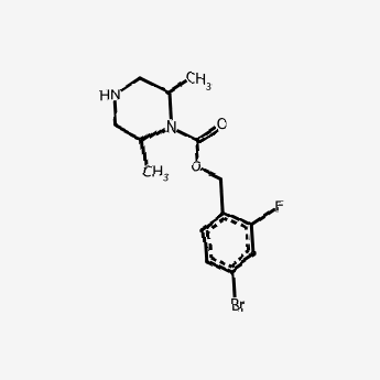 CC1CNCC(C)N1C(=O)OCc1ccc(Br)cc1F